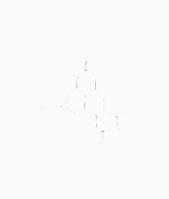 C=C1CCC(/C=C2/CC(=O)N(C)c3cc(OC)ccc32)C(=O)N1